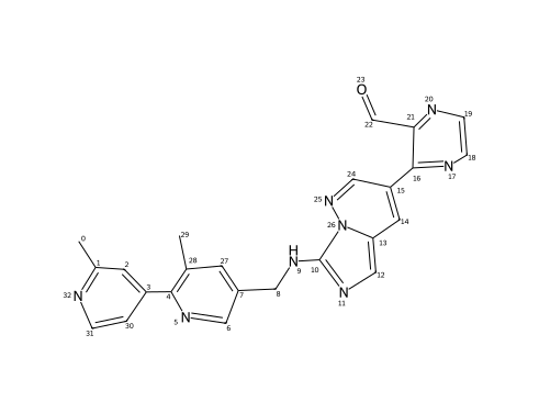 Cc1cc(-c2ncc(CNc3ncc4cc(-c5nccnc5C=O)cnn34)cc2C)ccn1